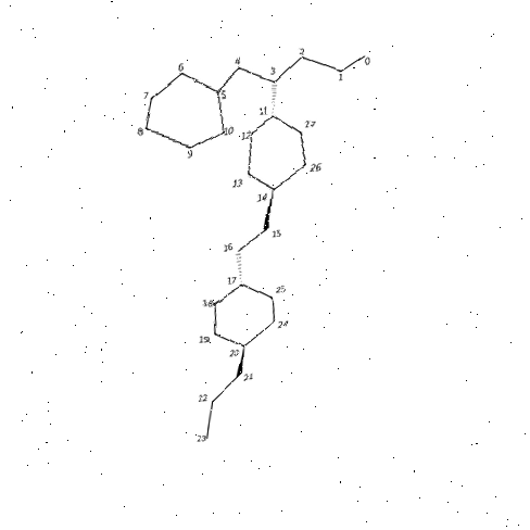 CCCC(CC1CCCCC1)[C@H]1CC[C@H](CC[C@H]2CC[C@H](CCC)CC2)CC1